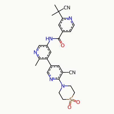 Cc1ncc(NC(=O)c2ccnc(C(C)(C)C#N)c2)cc1-c1cnc(N2CCS(=O)(=O)CC2)c(C#N)c1